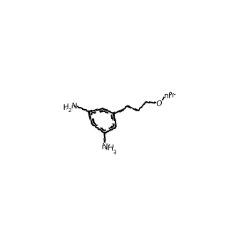 CCCOCCCc1cc(N)cc(N)c1